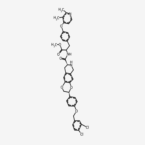 COC(=O)C(Cc1ccc(Oc2ccnc(C)c2C)cc1)NC(=O)[C@@H]1Cc2cc3c(cc2CN1)O[C@@H](c1ccc(OCc2ccc(Cl)c(Cl)c2)cc1)CO3